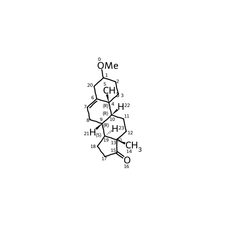 COC1CC[C@@]2(C)C(=CC[C@@H]3[C@H]2CC[C@]2(C)C(=O)CC[C@@H]32)C1